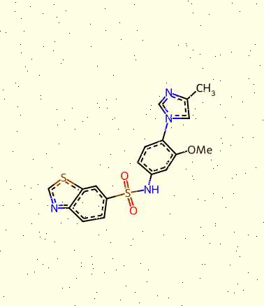 COc1cc(NS(=O)(=O)c2ccc3ncsc3c2)ccc1-n1cnc(C)c1